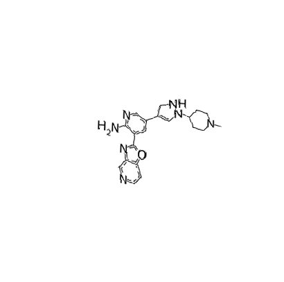 CN1CCC(N2C=C(c3cnc(N)c(-c4nc5cnccc5o4)c3)CN2)CC1